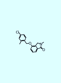 Cc1cc(Cl)ccc1COc1cccc2c1CN(C)C2=O